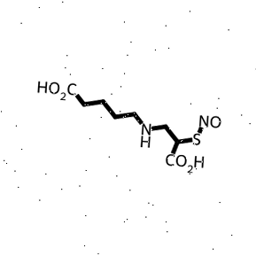 O=NSC(CNCCCCC(=O)O)C(=O)O